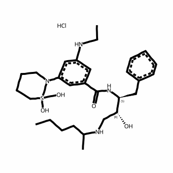 CCCCC(C)NC[C@@H](O)[C@H](Cc1ccccc1)NC(=O)c1cc(NCC)cc(N2CCCCS2(O)O)c1.Cl